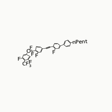 CCCCCc1ccc(-c2ccc(C#Cc3ccc(C(F)(F)Oc4cc(F)c(C(F)(F)F)c(F)c4)c(F)c3)c(F)c2)cc1